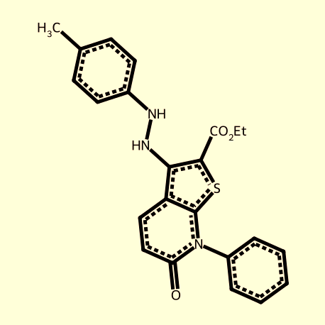 CCOC(=O)c1sc2c(ccc(=O)n2-c2ccccc2)c1NNc1ccc(C)cc1